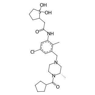 Cc1c(CN2CCN(C(=O)C3CCCC3)[C@@H](C)C2)cc(Cl)cc1NC(=O)CC1CCCS1(O)O